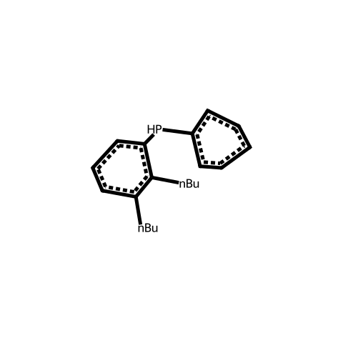 CCCCc1cccc(Pc2ccccc2)c1CCCC